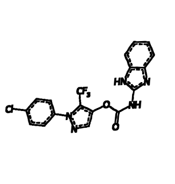 O=C(Nc1nc2ccccc2[nH]1)Oc1cnn(-c2ccc(Cl)cc2)c1C(F)(F)F